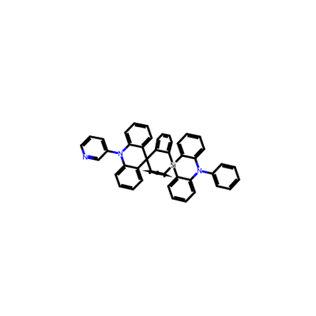 c1ccc(N2c3ccccc3[Si]3(c4ccccc42)c2ccccc2C2(c4ccccc4N(c4cccnc4)c4ccccc42)c2ccccc23)cc1